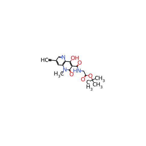 C#Cc1cnc2c(O)c(C(=O)NCC(=O)OC(C)(C)C)c(=O)n(C)c2c1